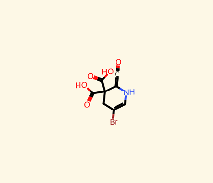 O=C=C1NC=C(Br)CC1(C(=O)O)C(=O)O